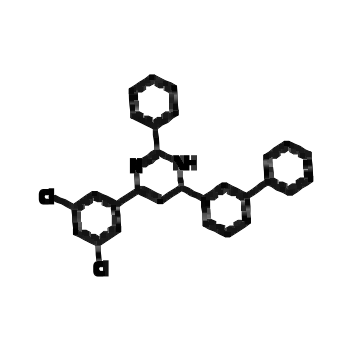 Clc1cc(Cl)cc(C2=CC(c3cccc(-c4ccccc4)c3)NC(c3ccccc3)=N2)c1